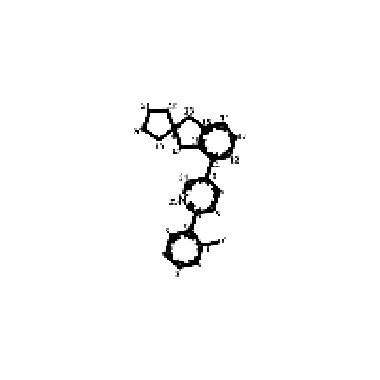 Cc1ccccc1-c1ccc(-c2cccc3c2CC2(CCCC2)C3)cn1